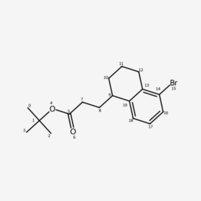 CC(C)(C)OC(=O)CCC1CCCc2c(Br)cccc21